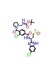 C[S+]([O-])CC[C@H](NC(=O)c1ccc(C(=O)N2CCC[C@H]2CNC(=O)OC(C)(C)C)c(Cl)c1)c1nc2cc(Cl)ccc2[nH]1